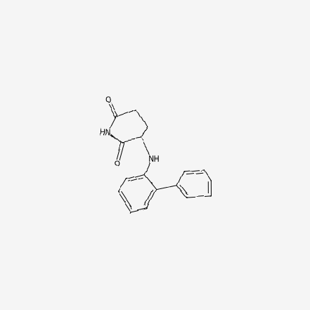 O=C1CCC(Nc2ccccc2-c2ccccc2)C(=O)N1